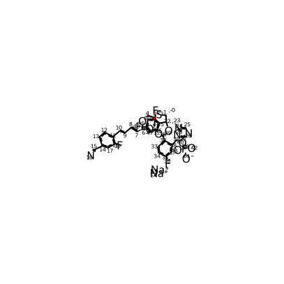 C[C@@H](S[C@H]1CO[C@H](/C=C/C=C/c2ccc(C#N)cc2F)OC1)[C@@](Cn1cncn1)(OC(=O)c1ccc(F)cc1COP(=O)([O-])[O-])c1ccc(F)cc1F.[Na+].[Na+]